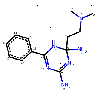 CN(C)CCC1(N)N=C(N)N=C(c2ccccc2)N1